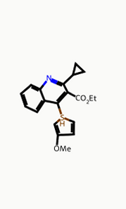 CCOC(=O)c1c(C2CC2)nc2ccccc2c1[SH]1C=CC(OC)=C1